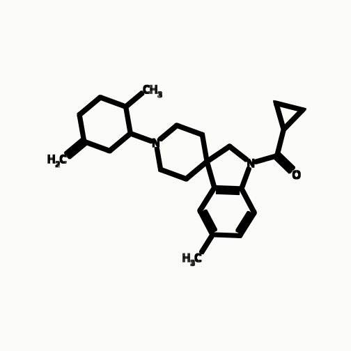 C=C1CCC(C)C(N2CCC3(CC2)CN(C(=O)C2CC2)c2ccc(C)cc23)C1